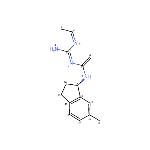 C=C(/N=C(N)\N=C/C)N[C@@H]1CCc2ccc(C)cc21